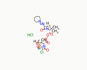 CC1(C)S[C@@H]2C(/N=C/N3CCCCCC3)C(=O)N2[C@H]1C(=O)OCOC(=O)[C@@H]1N2C(=O)[C@H](Cl)[C@H]2S(=O)(=O)C1(C)C.Cl